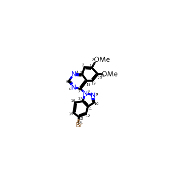 COc1cc2ncnc(-n3ncc4cc(Br)ccc43)c2cc1OC